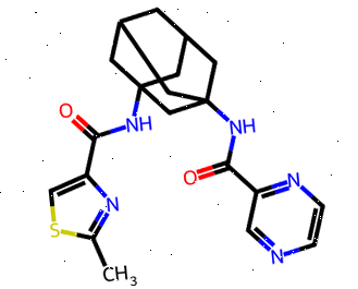 Cc1nc(C(=O)NC23CC4CC(CC(NC(=O)c5cnccn5)(C4)C2)C3)cs1